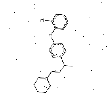 CC(CCN1CCCCC1)c1ccc(Oc2ccccc2Cl)cc1